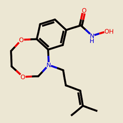 CC(C)=CCCN1COCCOc2ccc(C(=O)NO)cc21